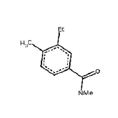 CCc1cc(C(=O)NC)ccc1C